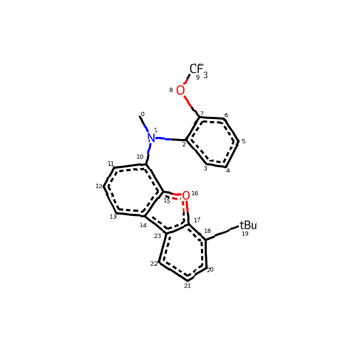 CN(c1ccccc1OC(F)(F)F)c1cccc2c1oc1c(C(C)(C)C)cccc12